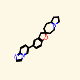 c1cn2cc(-c3ccc4c(c3)CC3(CCC5CCCN5CC3)O4)ccc2n1